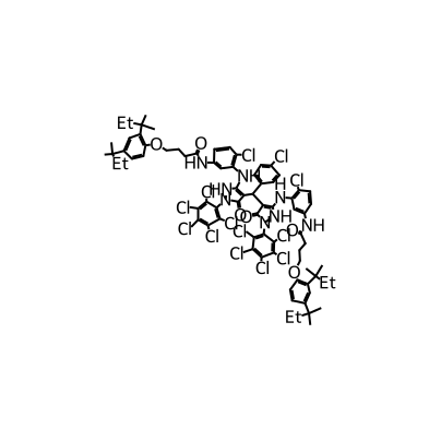 CCC(C)(C)c1ccc(OCCCC(=O)Nc2ccc(Cl)c(Nc3[nH]n(-c4c(Cl)c(Cl)c(Cl)c(Cl)c4Cl)c(=O)c3C(c3ccc(Cl)cc3)c3c(Nc4cc(NC(=O)CCCOc5ccc(C(C)(C)CC)cc5C(C)(C)CC)ccc4Cl)[nH]n(-c4c(Cl)c(Cl)c(Cl)c(Cl)c4Cl)c3=O)c2)c(C(C)(C)CC)c1